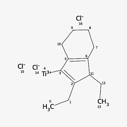 CCC1=[C]([Ti+3])C2=C(CCCC2)C1CC.[Cl-].[Cl-].[Cl-]